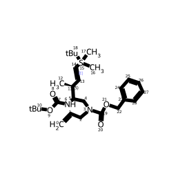 C=CCN(CC(NC(=O)OC(C)(C)C)[C@@H](C)/C=C/S(C)(C)C(C)(C)C)C(=O)OCc1ccccc1